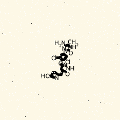 C=C1NC(=O)N(c2cc(Cl)c(Oc3cc(Cc4ccc(O)cn4)c(=O)[nH]n3)c(Cl)c2)N=C1N